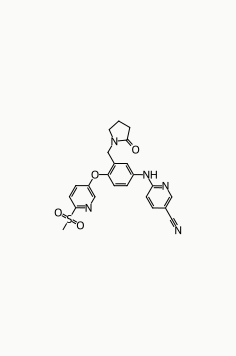 CS(=O)(=O)c1ccc(Oc2ccc(Nc3ccc(C#N)cn3)cc2CN2CCCC2=O)cn1